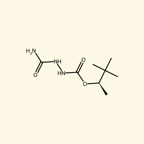 C[C@@H](OC(=O)NNC(N)=O)C(C)(C)C